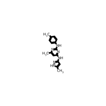 Cc1ccc(Nc2nc(C)cc(Nc3cc(C)[nH]n3)n2)cc1